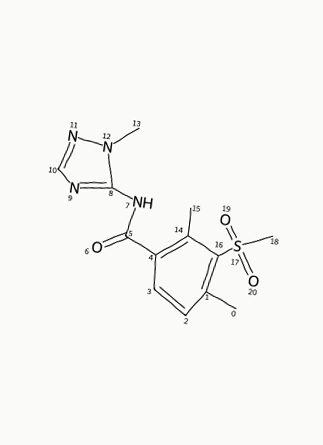 Cc1ccc(C(=O)Nc2ncnn2C)c(C)c1S(C)(=O)=O